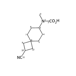 CN(C(=O)O)C1CCC2(CC1)CC(C#N)C2